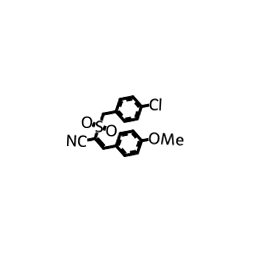 COc1ccc(/C=C(/C#N)S(=O)(=O)Cc2ccc(Cl)cc2)cc1